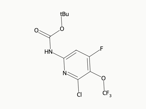 CC(C)(C)OC(=O)Nc1cc(F)c(OC(F)(F)F)c(Cl)n1